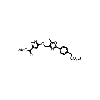 CCOC(=O)Cc1ccc(-c2nc(COc3cc(C(=O)OC)on3)c(C)o2)cc1